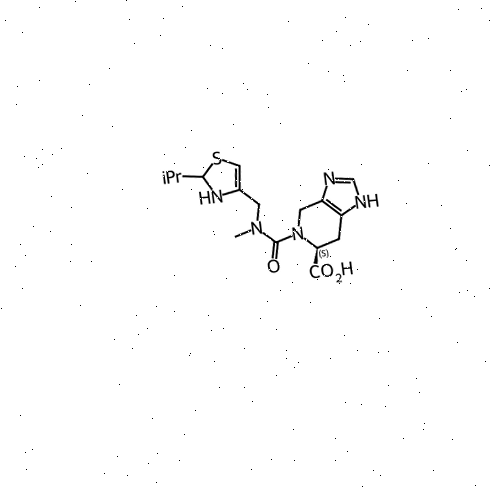 CC(C)C1NC(CN(C)C(=O)N2Cc3nc[nH]c3C[C@H]2C(=O)O)=CS1